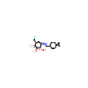 O[C@@H]1[C@@H](O)[C@@H](O)C(CF)=C[C@H]1NCC1CCC2(CC1)CC2